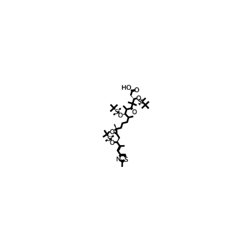 C/C(=C\c1csc(C)n1)[C@H](CC1O[C@]1(C)CCCC(C)[C@H](O[Si](C)(C)C(C)(C)C)C(C)C(=O)C(C)(C)[C@H](CC(=O)O)O[Si](C)(C)C(C)(C)C)O[Si](C)(C)C(C)(C)C